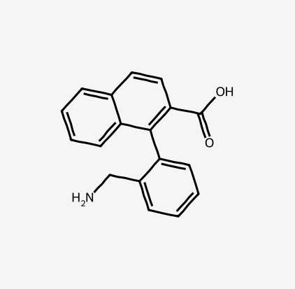 NCc1ccccc1-c1c(C(=O)O)ccc2ccccc12